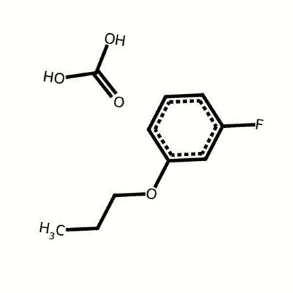 CCCOc1cccc(F)c1.O=C(O)O